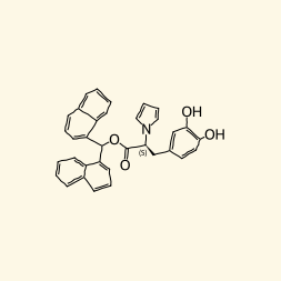 O=C(OC(c1cccc2ccccc12)c1cccc2ccccc12)[C@H](Cc1ccc(O)c(O)c1)n1cccc1